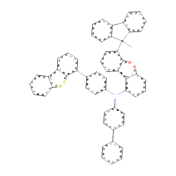 CC1(c2cccc3c2oc2cccc(N(c4ccc(-c5ccccc5)cc4)c4ccc(-c5cccc6c5sc5ccccc56)cc4)c23)c2ccccc2-c2ccccc21